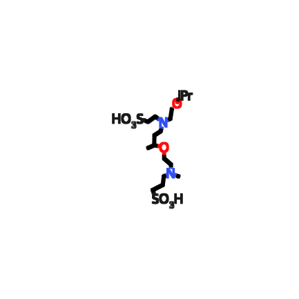 CC(C)OCCN(CCC(C)OCCN(C)CCCS(=O)(=O)O)CCS(=O)(=O)O